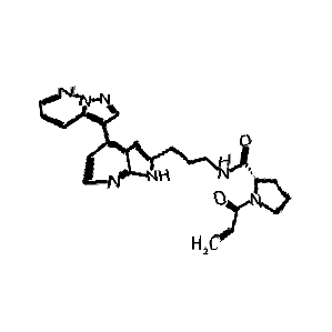 C=CC(=O)N1CCC[C@H]1C(=O)NCCCc1cc2c(-c3cnn4ncccc34)ccnc2[nH]1